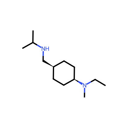 CCN(C)[C@H]1CC[C@@H](CNC(C)C)CC1